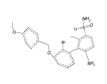 COc1ccc(COc2cccc(-c3c(N)ccc(S(N)(=O)=O)c3C)c2Br)cc1